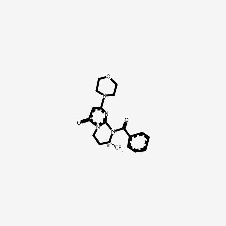 O=C(c1ccccc1)N1c2nc(N3CCOCC3)cc(=O)n2CC[C@H]1C(F)(F)F